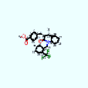 COC(=O)c1ccc(C[C@@H]2C(=O)N(Cc3ccccc3C(F)(F)F)c3ccccc3[C@H]2C)cc1